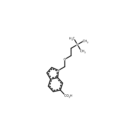 C[Si](C)(C)CCOCn1ccc2ccc(C(=O)O)cc21